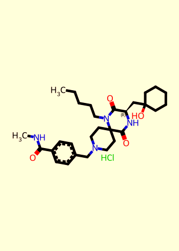 CCCCCN1C(=O)[C@@H](CC2(O)CCCCC2)NC(=O)C12CCN(Cc1ccc(C(=O)NC)cc1)CC2.Cl